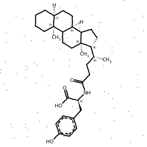 C[C@H](CCC(=O)N[C@@H](Cc1ccc(O)cc1)C(=O)O)[C@H]1CCC2[C@@H]3CC[C@@H]4CCCC[C@]4(C)C3CC[C@@]21C